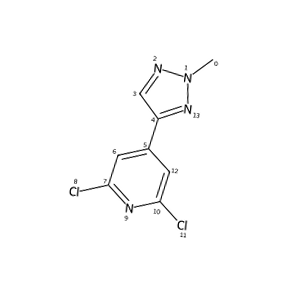 Cn1ncc(-c2cc(Cl)nc(Cl)c2)n1